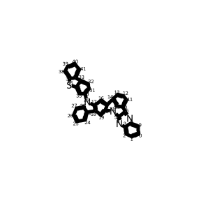 c1ccc2nc3c(nc2c1)c1cccc2c4cc5c(cc4n3c21)c1ccccc1n5-c1ccc2c(c1)sc1ccccc12